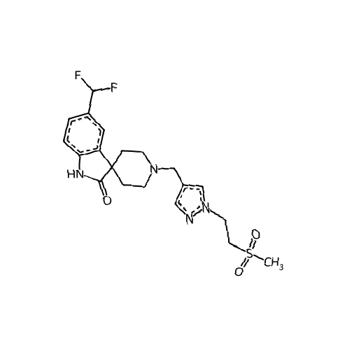 CS(=O)(=O)CCn1cc(CN2CCC3(CC2)C(=O)Nc2ccc(C(F)F)cc23)cn1